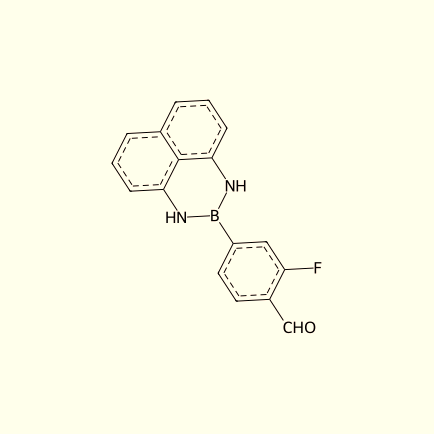 O=Cc1ccc(B2Nc3cccc4cccc(c34)N2)cc1F